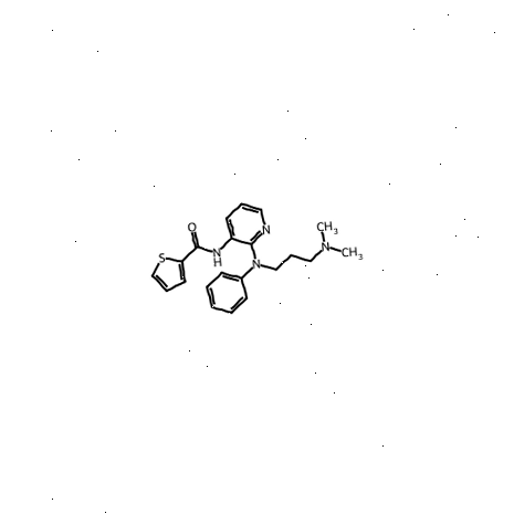 CN(C)CCCN(c1ccccc1)c1ncccc1NC(=O)c1cccs1